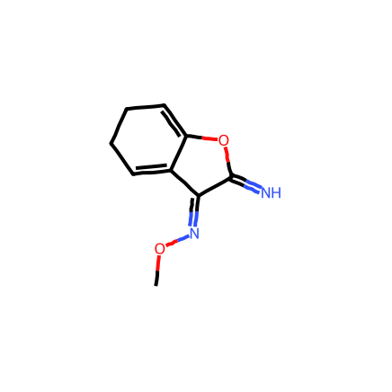 CO/N=C1/C(=N)OC2=CCCC=C21